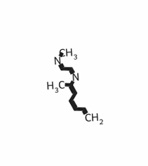 C=C\C=C/C=C(C)/N=C\C=N/C